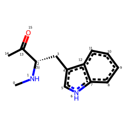 CN[C@@H](Cc1c[nH]c2ccccc12)C(C)=O